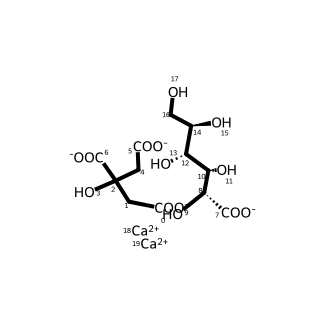 O=C([O-])CC(O)(CC(=O)[O-])C(=O)[O-].O=C([O-])[C@H](O)[C@@H](O)[C@H](O)[C@H](O)CO.[Ca+2].[Ca+2]